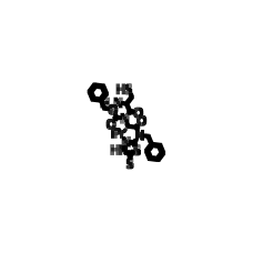 CC(C)[C@@H](C(=O)N(Cc1ccccc1)c1n[nH]c(=S)s1)N(C(=O)OCc1ccccc1)C(=O)C(N)CS